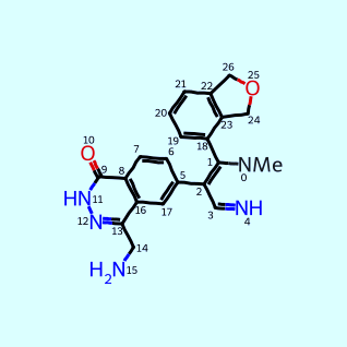 CN/C(=C(\C=N)c1ccc2c(=O)[nH]nc(CN)c2c1)c1cccc2c1COC2